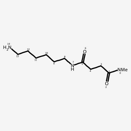 CNC(=O)CCC(=O)NCCCCCCN